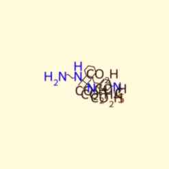 NCCNC(CC(=O)O)(C1CCCCC1Cc1ccc(N=C=S)cc1)C(CC(=O)O)(CC(=O)O)N(CC(=O)O)CC(=O)O